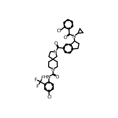 O=C(Nc1ccc(Cl)cc1C(F)(F)F)N1CCC2(CC1)CCN(C(=O)c1ccc3c(c1)C(N(C(=O)c1ccccc1Cl)C1CC1)CC3)C2